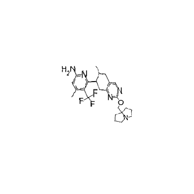 Cc1cc(N)nc(C2Cc3nc(OCC45CCCN4CCC5)ncc3CC2C)c1C(F)(F)F